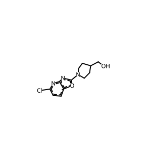 OCC1CCN(c2nc3nc(Cl)ccc3o2)CC1